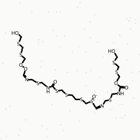 O=C(NCSC/N=C\[S+]([O-])CSCCSCSC(=O)NCSC/N=C\OOCSCSCO)OCSCSCO